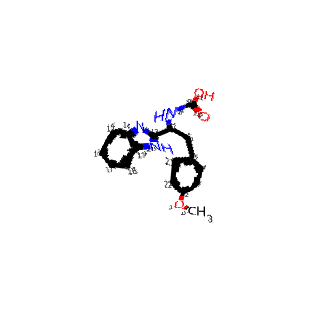 COc1ccc(CC(NC(=O)O)c2nc3ccccc3[nH]2)cc1